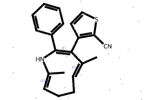 C/C1=C\CC/C=C(C)/C(c2ccsc2C#N)=C(/c2ccccc2)N1